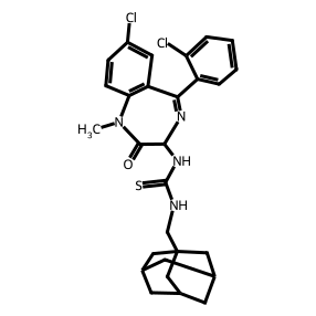 CN1C(=O)C(NC(=S)NCC23CC4CC(CC(C4)C2)C3)N=C(c2ccccc2Cl)c2cc(Cl)ccc21